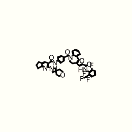 O=C(Nc1c(F)cccc1C(F)(F)F)c1cc2c(o1)-c1ccccc1N(C(=O)c1ccc(NC(=O)c3cc4c(nc3N3CC5(CCOCC5)C3)CCC4)cc1)CC2